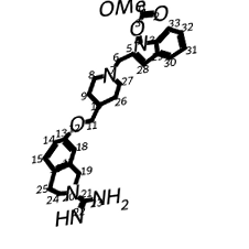 COC(=O)On1c(CN2CCC(COc3ccc4c(c3)CN(C(=N)N)CC4)CC2)cc2ccccc21